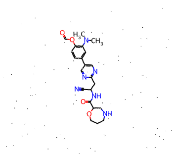 CN(C)c1cc(-c2cnc(CC(C#N)NC(=O)C3CNCCCO3)nc2)ccc1OC=O